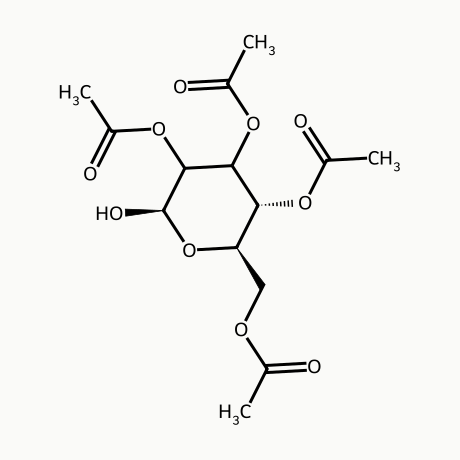 CC(=O)OC[C@H]1O[C@@H](O)C(OC(C)=O)C(OC(C)=O)[C@@H]1OC(C)=O